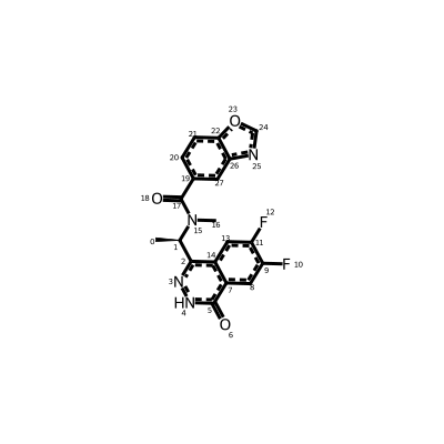 C[C@H](c1n[nH]c(=O)c2cc(F)c(F)cc12)N(C)C(=O)c1ccc2ocnc2c1